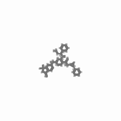 CC1(C)OC(=O)c2ccc(Nc3ncc(C(=O)N[C@H]4C[C@@H]4c4ccccc4)c(N[C@H](CO)c4ccccc4)n3)cc21